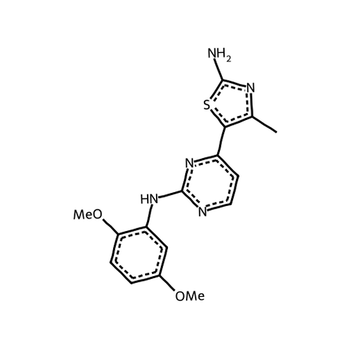 COc1ccc(OC)c(Nc2nccc(-c3sc(N)nc3C)n2)c1